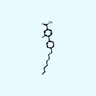 CCCCCCCCc1ccc(-c2ccc(C(=O)O)cc2C)cc1